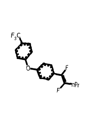 CCCC(F)=C(F)c1ccc(Oc2ccc(C(F)(F)F)cc2)cc1